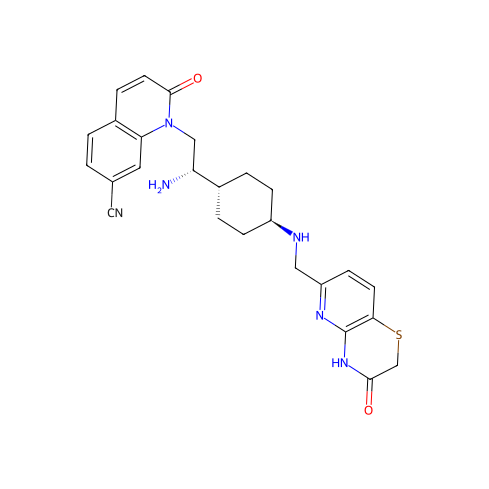 N#Cc1ccc2ccc(=O)n(C[C@@H](N)[C@H]3CC[C@H](NCc4ccc5c(n4)NC(=O)CS5)CC3)c2c1